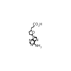 Nc1ncnc2c1ncn2[C@H]1CC[C@@H](CCC(=O)O)O1